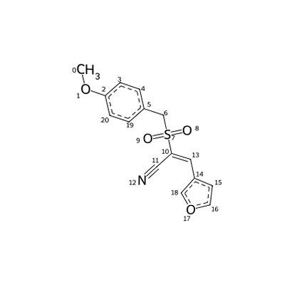 COc1ccc(CS(=O)(=O)/C(C#N)=C/c2ccoc2)cc1